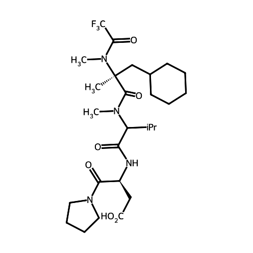 CC(C)C(C(=O)N[C@@H](CC(=O)O)C(=O)N1CCCC1)N(C)C(=O)[C@](C)(CC1CCCCC1)N(C)C(=O)C(F)(F)F